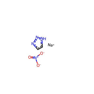 O=[N+]([O-])[O-].[Na+].c1c[nH]nn1